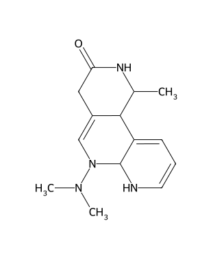 CC1NC(=O)CC2=CN(N(C)C)C3NC=CC=C3C21